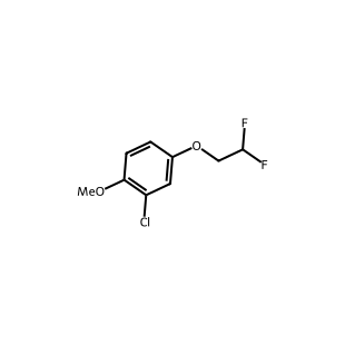 COc1ccc(OCC(F)F)cc1Cl